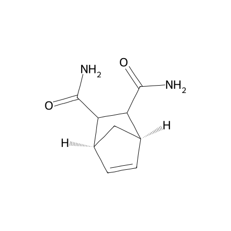 NC(=O)C1C(C(N)=O)[C@H]2C=C[C@@H]1C2